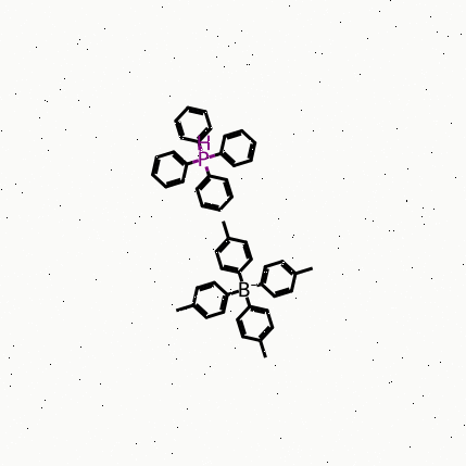 Cc1ccc([B-](c2ccc(C)cc2)(c2ccc(C)cc2)c2ccc(C)cc2)cc1.c1ccc([PH](c2ccccc2)(c2ccccc2)c2ccccc2)cc1